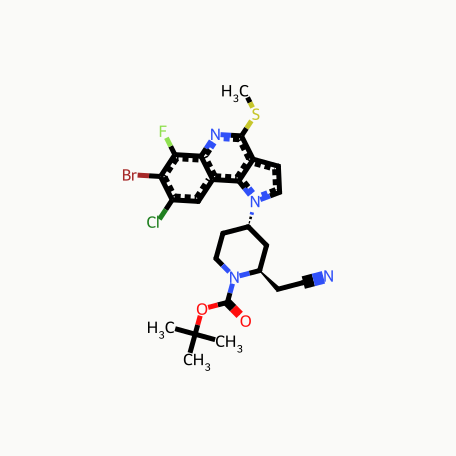 CSc1nc2c(F)c(Br)c(Cl)cc2c2c1ccn2[C@H]1CCN(C(=O)OC(C)(C)C)[C@H](CC#N)C1